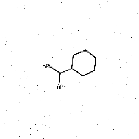 CCCC(CCC)C1CCCCC1